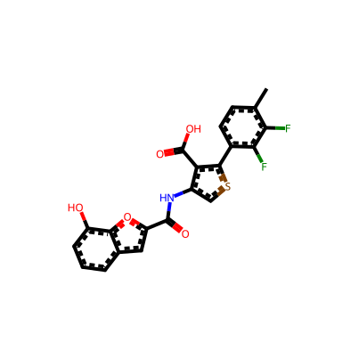 Cc1ccc(-c2scc(NC(=O)c3cc4cccc(O)c4o3)c2C(=O)O)c(F)c1F